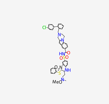 CON(C)CCC(CSc1ccccc1)Nc1ccc(S(=O)(=O)NC(=O)c2ccc3c(c2)cc2n3CCN(Cc3ccccc3-c3ccc(Cl)cc3)C2)cc1[N+](=O)[O-]